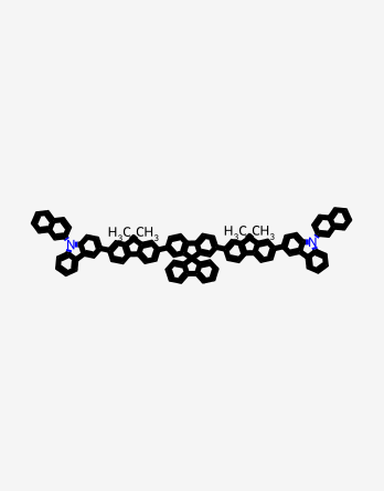 CC1(C)c2cc(C3=CCC4C(=C3)c3ccccc3N4c3ccc4ccccc4c3)ccc2-c2ccc(-c3ccc4c(c3)C3(c5ccccc5-c5ccccc53)c3cc(-c5ccc6c(c5)C(C)(C)c5cc(-c7ccc8c(c7)c7ccccc7n8-c7ccc8ccccc8c7)ccc5-6)ccc3-4)cc21